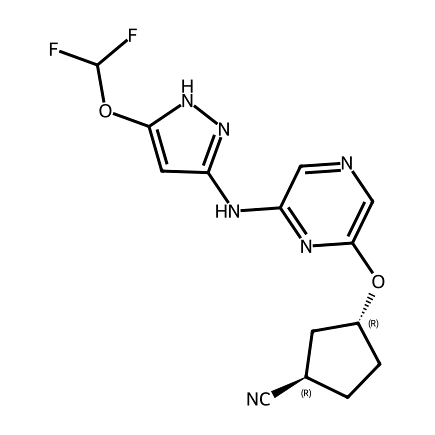 N#C[C@@H]1CC[C@@H](Oc2cncc(Nc3cc(OC(F)F)[nH]n3)n2)C1